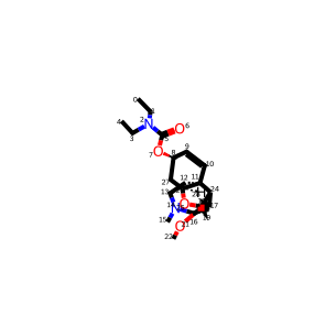 CCN(CC)C(=O)O[C@H]1C=C[C@@]23CCN(C)Cc4ccc(OC)c(c42)O[C@H]3C1